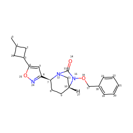 CC1CC(c2cc([C@@H]3CC[C@@H]4CN3C(=O)N4OCc3ccccc3)no2)C1